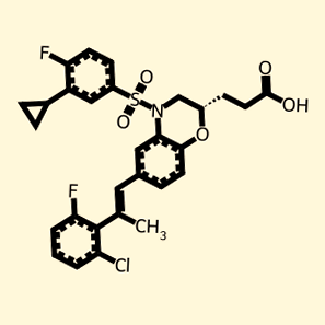 C/C(=C\c1ccc2c(c1)N(S(=O)(=O)c1ccc(F)c(C3CC3)c1)C[C@H](CCC(=O)O)O2)c1c(F)cccc1Cl